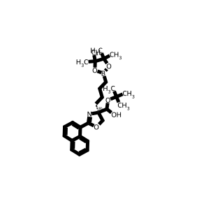 CC(C)(C)OC(O)[C@@]1(CCCCB2OC(C)(C)C(C)(C)O2)COC(c2cccc3ccccc23)=N1